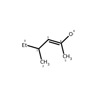 CCC(C)/C=C(\C)[O]